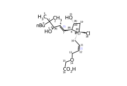 CCCCC(C)(C)[C@H](O)/C=C/[C@@H]1[C@@H](C/C=C\COCC(=O)O)[C@H](Cl)C[C@H]1O